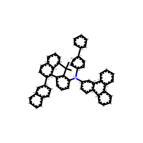 CC1(C)c2c(cccc2N(c2ccc(-c3ccccc3)cc2)c2ccc3c4ccccc4c4ccccc4c3c2)-c2c(-c3ccc4ccccc4c3)ccc3cccc1c23